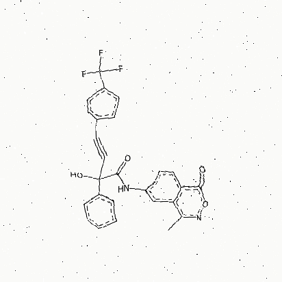 Cc1noc(=O)c2ccc(NC(=O)C(O)(C#Cc3ccc(C(F)(F)F)cc3)c3ccccc3)cc12